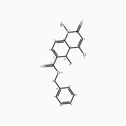 CCN1C(=O)C=C(Cl)C2C1=CC=C(C(=O)OCc1ccccc1)C2C